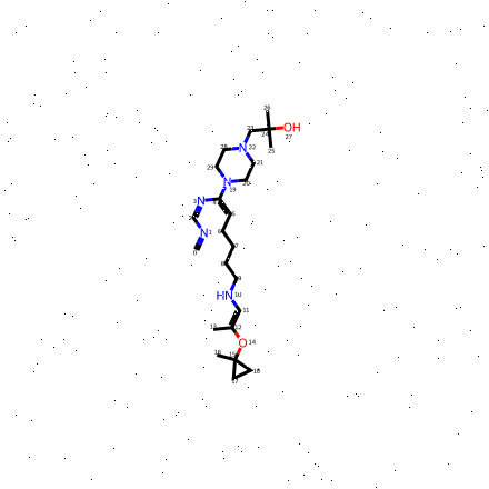 C=N/C=N\C(=C/CCCCN/C=C(\C)OC1(C)CC1)N1CCN(CC(C)(C)O)CC1